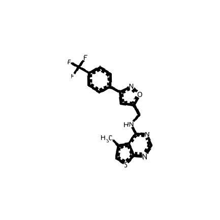 Cc1csc2ncnc(NCc3cc(-c4ccc(C(F)(F)F)cc4)no3)c12